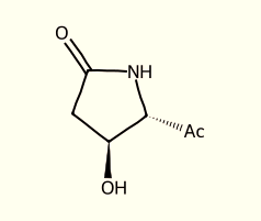 CC(=O)[C@H]1NC(=O)C[C@@H]1O